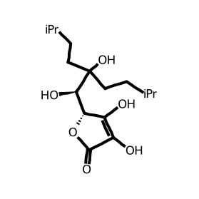 CC(C)CCC(O)(CCC(C)C)[C@H](O)[C@H]1OC(=O)C(O)=C1O